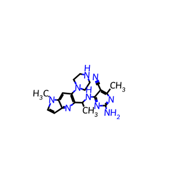 Cc1nc(N)nc(NC(C)c2nc3ccn(C)c3cc2N2CCNCC2)c1C#N